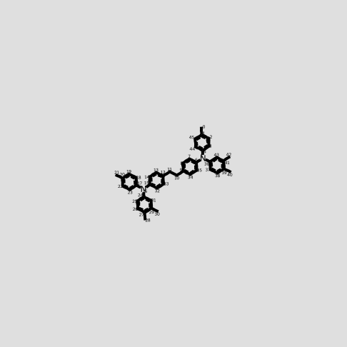 Cc1ccc(N(c2ccc(CCc3ccc(N(c4ccc(C)cc4)c4ccc(C)c(C)c4)cc3)cc2)c2ccc(C)c(C)c2)cc1